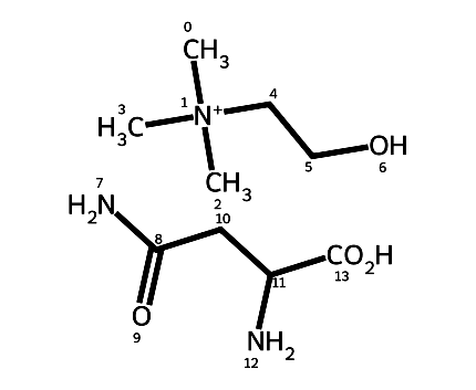 C[N+](C)(C)CCO.NC(=O)CC(N)C(=O)O